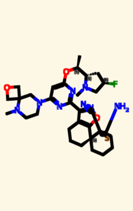 C[C@H](Oc1cc(N2CCN(C)C3(COC3)C2)nc(-c2noc3c2CCC[C@@]32CCCc3sc(N)c(C#N)c32)n1)[C@@H]1C[C@@H](F)CN1C